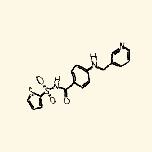 O=C(NS(=O)(=O)c1cccs1)c1ccc(NCc2cccnc2)cc1